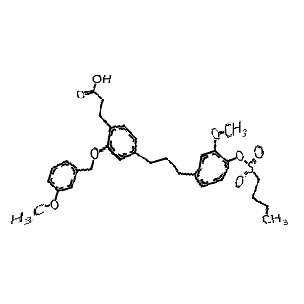 CCCCS(=O)(=O)Oc1ccc(CCCc2ccc(CCC(=O)O)c(OCc3cccc(OC)c3)c2)cc1OC